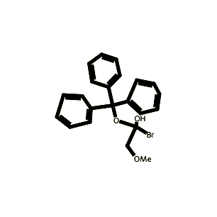 COCC(O)(Br)OC(c1ccccc1)(c1ccccc1)c1ccccc1